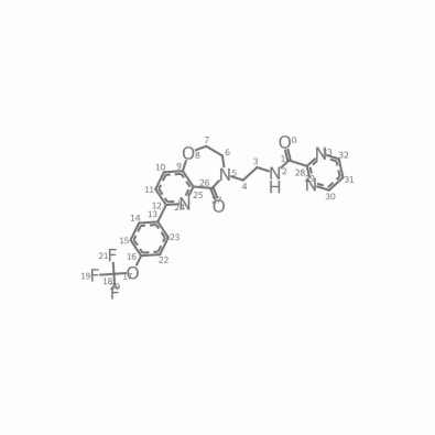 O=C(NCCN1CCOc2ccc(-c3ccc(OC(F)(F)F)cc3)nc2C1=O)c1ncccn1